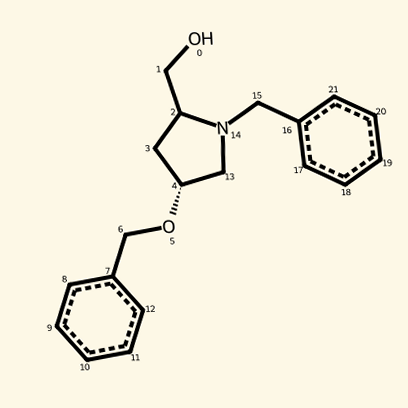 OCC1C[C@@H](OCc2ccccc2)CN1Cc1ccccc1